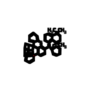 CC1(C)CCC(C)(C)c2c(N(c3ccc(-c4ccccc4)c4c3Sc3ccccc3C43C4CC5CC6CC3C64C5)C3C=CC=CC3)cccc21